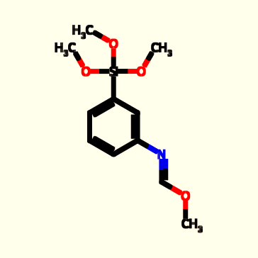 COC=Nc1cccc([Si](OC)(OC)OC)c1